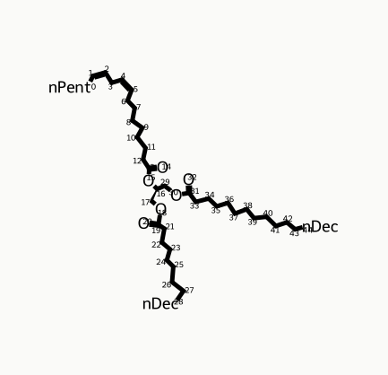 CCCCC/C=C\C/C=C\CCCCCCCC(=O)O[C@H](COC(=O)CCCCCCCCCCCCCCCCC)COC(=O)CCCCCCCCCCCCCCCCCCCCC